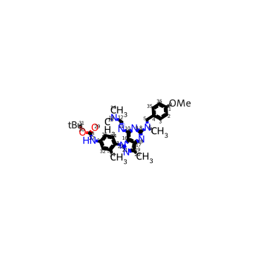 COc1ccc(CN(C)c2nc(/N=C/N(C)C)c3c(n2)c(C)nn3-c2ccc(NC(=O)OC(C)(C)C)cc2C)cc1